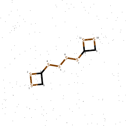 C1SSC1SSSSC1CSS1